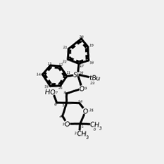 CC1(C)OCC(CO)(CO[Si](c2ccccc2)(c2ccccc2)C(C)(C)C)CO1